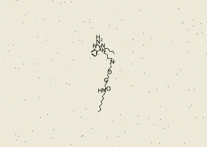 CCCCCCCCNC(=O)CCOCCOCCCN(C)CCCCn1c(CCCC)nc2c(N)nc3ccccc3c21